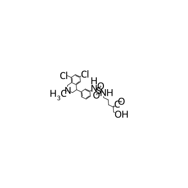 CN1Cc2c(Cl)cc(Cl)cc2C(c2cccc(NS(=O)(=O)NCCCC(=C=O)CO)c2)C1